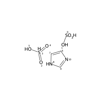 O=S(=O)(O)O.O=[SH](=O)O.c1c[nH]cn1